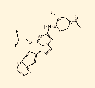 CC(=O)N1CC[C@H](Nc2nc(OCC(F)F)c3c(-c4ccc5nccnc5c4)ccn3n2)[C@H](F)C1